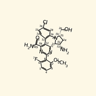 COc1cccc(F)c1-c1ncc(-c2ccc(Cl)cc2N2C[C@@H](N)C[C@H]2CO)c(C(N)=O)n1